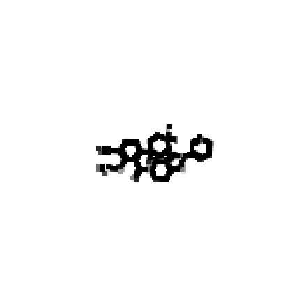 COc1c(C#N)ccc(C2(F)CCC(F)(F)CC2)c1C(=O)N1CCc2nn(-c3cccnc3)cc2C1